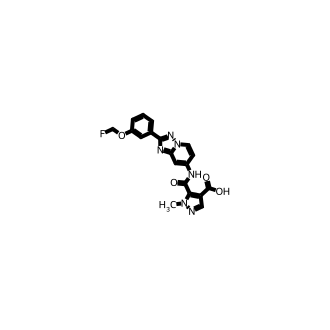 Cn1ncc(C(=O)O)c1C(=O)Nc1ccn2nc(-c3cccc(OCF)c3)nc2c1